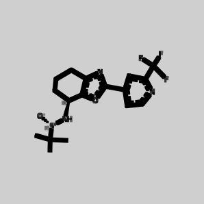 CC(C)(C)[S@+]([O-])N[C@H]1CCCc2nc(-c3ccnc(C(F)(F)F)c3)oc21